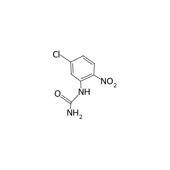 NC(=O)Nc1cc(Cl)ccc1[N+](=O)[O-]